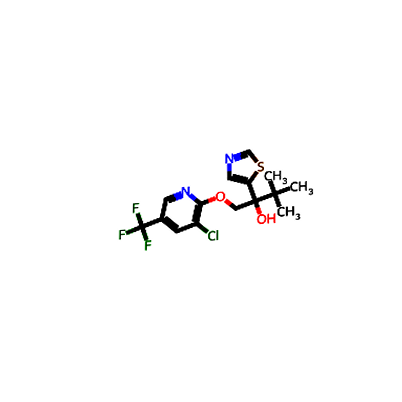 CC(C)(C)C(O)(COc1ncc(C(F)(F)F)cc1Cl)c1cncs1